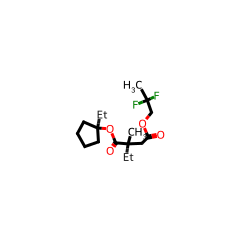 CCC1(OC(=O)C(C)(CC)CC(=O)OCC(C)(F)F)CCCC1